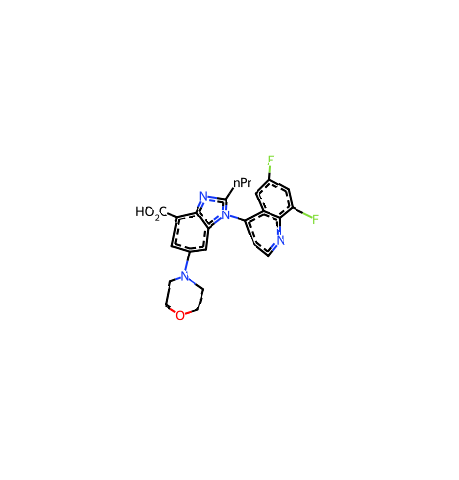 CCCc1nc2c(C(=O)O)cc(N3CCOCC3)cc2n1-c1ccnc2c(F)cc(F)cc12